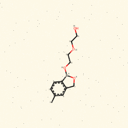 Cc1ccc2c(c1)COB2OCCOCCO